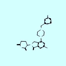 O=C1CCC(N2Cc3c(cc(F)cc3N3CCN(Cc4cccc(O)c4)CC3)C2=O)C(=O)N1